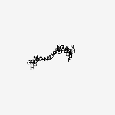 N#Cc1c(NS(=O)(=O)N2CC[C@@H](F)C2)ccc(F)c1Oc1ccc2ncn(-c3ccc(N4CCN(CC5CN(c6ccc7c(c6)CN([C@H]6CCC(=O)NC6=O)C7=O)C5)CC4)cc3)c(=O)c2c1